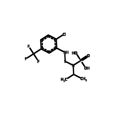 CC(C)N(SNc1cc(C(F)(F)F)ccc1Cl)P(=O)(O)O